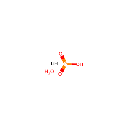 O.O=P(=O)O.[LiH]